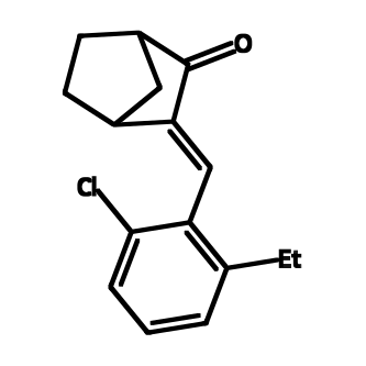 CCc1cccc(Cl)c1C=C1C(=O)C2CCC1C2